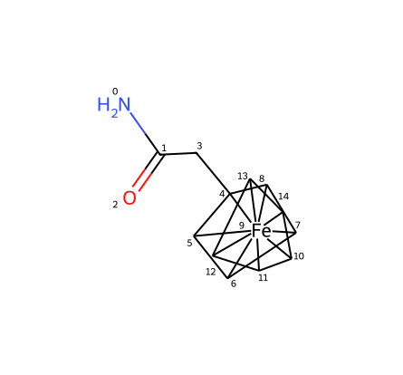 NC(=O)C[C]12[CH]3[CH]4[CH]5[CH]1[Fe]45321678[CH]2[CH]1[CH]6[CH]7[CH]28